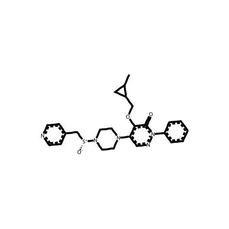 CC1CC1COc1c(N2CCN([S@+]([O-])Cc3ccncc3)CC2)cnn(-c2ccccc2)c1=O